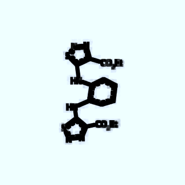 CCOC(=O)c1nnsc1Nc1ccccc1Nc1snnc1C(=O)OCC